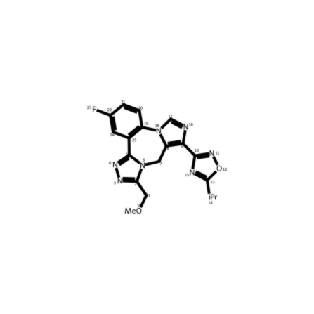 COCc1nnc2n1Cc1c(-c3noc(C(C)C)n3)ncn1-c1ccc(F)cc1-2